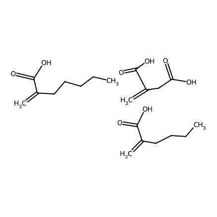 C=C(CC(=O)O)C(=O)O.C=C(CCCC)C(=O)O.C=C(CCCCC)C(=O)O